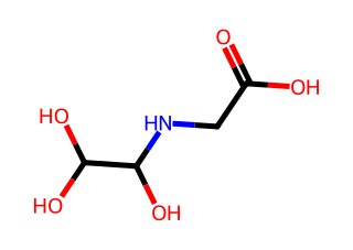 O=C(O)CNC(O)C(O)O